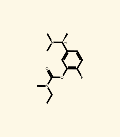 CCN(C)C(=O)Oc1cc([C@H](C)N(C)C)ccc1F